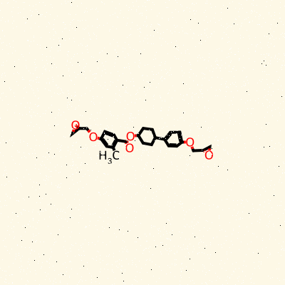 Cc1cc(OCC2CO2)ccc1C(=O)OC1CCC(c2ccc(OCC3CO3)cc2)CC1